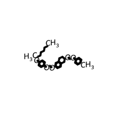 CCCCCCC(C)Oc1ccc(OCOc2ccc3c(c2)CCC(OCOc2ccc(C)cc2)C3)cc1